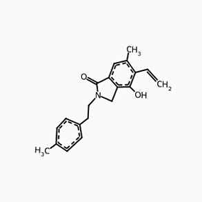 C=Cc1c(C)cc2c(c1O)CN(CCc1ccc(C)cc1)C2=O